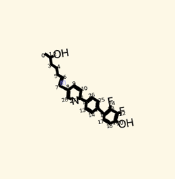 CC(O)CCC/C=C/c1ccc(-c2ccc(-c3ccc(O)c(F)c3F)cc2)nc1